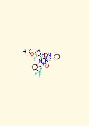 COc1cccc(-c2nn(Cc3ccccc3C(F)(F)F)c(=O)n(CC(N)c3ccccc3)c2=O)c1F